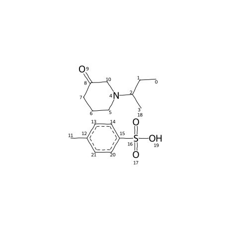 CCC(C)N1CCCC(=O)C1.Cc1ccc(S(=O)(=O)O)cc1